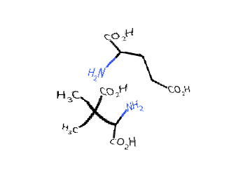 CC(C)(C(=O)O)C(N)C(=O)O.NC(CCC(=O)O)C(=O)O